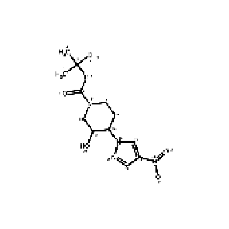 CC(C)(C)OC(=O)N1CCC(n2cc([N+](=O)[O-])cn2)C(O)C1